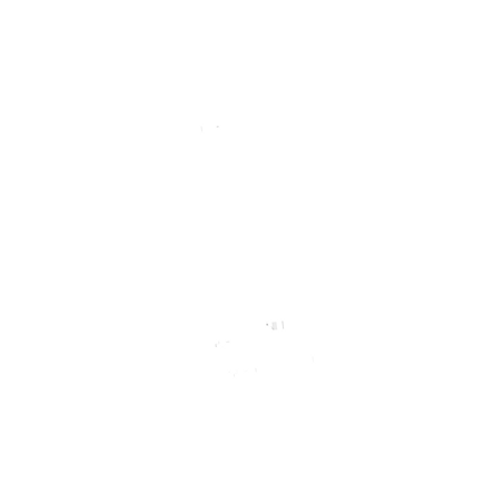 CCCCCCCCCCCCCCCCCCN[PH](CCCCCCCC)(CCCCCCCC)CCCCCCCC.Cl